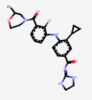 CC(C)C1CN(C(=O)c2cccc(Nc3ccc(C(=O)N=C4NCCN4)cc3C3CC3)c2Cl)CCO1